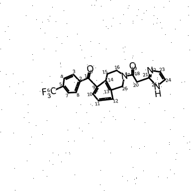 O=C(c1ccc(C(F)(F)F)cc1)c1cccc2c1CCN(C(=O)Cc1ncc[nH]1)C2